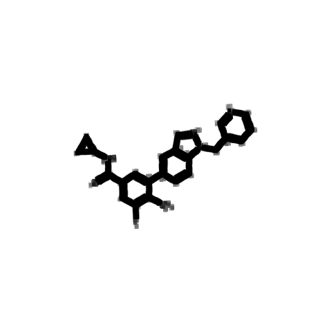 Cc1c(F)cc(C(=O)NC2CC2)cc1-c1ccc2c(cnn2Cc2cccnc2)c1